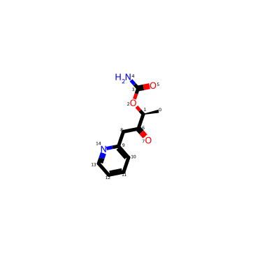 C[C@H](OC(N)=O)C(=O)Cc1ccccn1